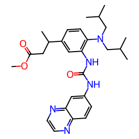 COC(=O)CC(C)c1ccc(N(CC(C)C)CC(C)C)c(NC(=O)Nc2ccc3nccnc3c2)c1